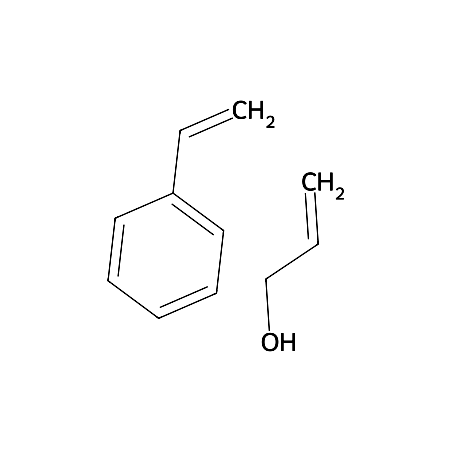 C=CCO.C=Cc1ccccc1